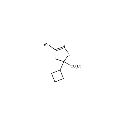 CCOC(=O)C1(C2CCC2)CC(C(C)C)=NO1